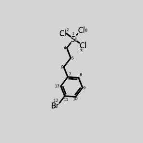 Cl[Si](Cl)(Cl)CCCc1cccc(Br)c1